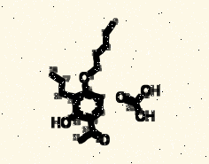 CCCCCOc1ccc(C(C)=O)c(O)c1CCC.O=C(O)O